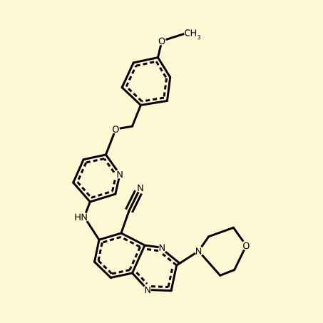 COc1ccc(COc2ccc(Nc3ccc4ncc(N5CCOCC5)nc4c3C#N)cn2)cc1